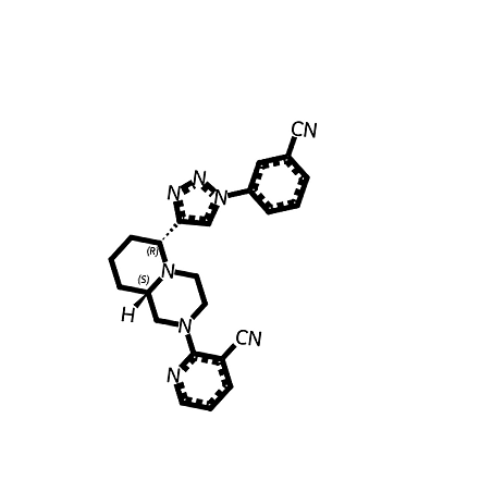 N#Cc1cccc(-n2cc([C@H]3CCC[C@H]4CN(c5ncccc5C#N)CCN43)nn2)c1